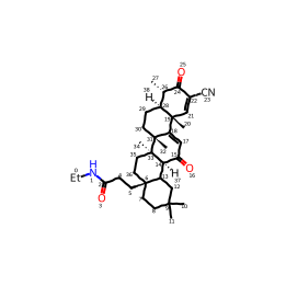 CCNC(=O)CC[C@]12CCC(C)(C)CC1[C@@H]1C(=O)C=C3[C@@]4(C)C=C(C#N)C(=O)[C@@H](C)[C@@H]4CC[C@@]3(C)[C@]1(C)CC2